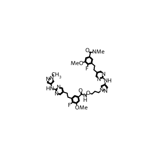 CNC(=O)c1cc(CCc2cnc(Nc3cnn(CCCONC(=O)c4cc(CCc5cnc(Nc6cnn(C)c6)nc5)c(F)c(OC)c4)c3)nc2)c(F)c(OC)c1